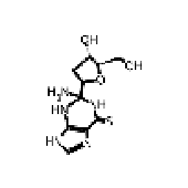 NC1(C2C[C@H](O)[C@@H](CO)O2)NC(=S)c2nc[nH]c2N1